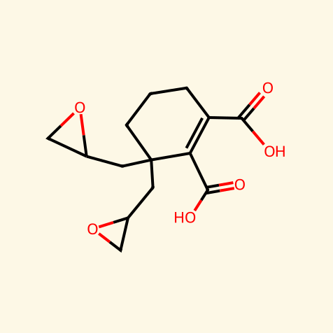 O=C(O)C1=C(C(=O)O)C(CC2CO2)(CC2CO2)CCC1